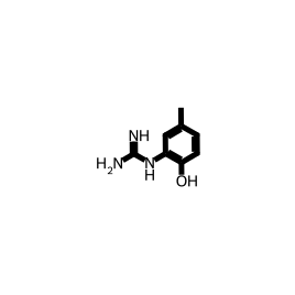 Cc1ccc(O)c(NC(=N)N)c1